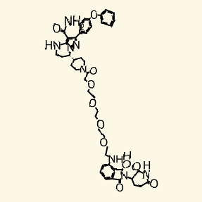 NC(=O)c1c(-c2ccc(Oc3ccccc3)cc2)nn2c1NCC[C@H]2C1CCN(C(=O)COCCOCCOCCOCCNc2cccc3c2C(O)N(C2CCC(=O)NC2=O)C3=O)CC1